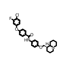 O=C(Nc1ccc(OC[C@@H]2CCCN3CCCC[C@H]23)cc1)c1ccc(Oc2ccc(Cl)c(F)c2)cc1